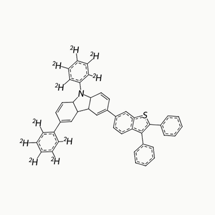 [2H]c1c([2H])c([2H])c(C2=CC3C4C=C(c5ccc6c(-c7ccccc7)c(-c7ccccc7)sc6c5)C=CC4N(c4c([2H])c([2H])c([2H])c([2H])c4[2H])C3C=C2)c([2H])c1[2H]